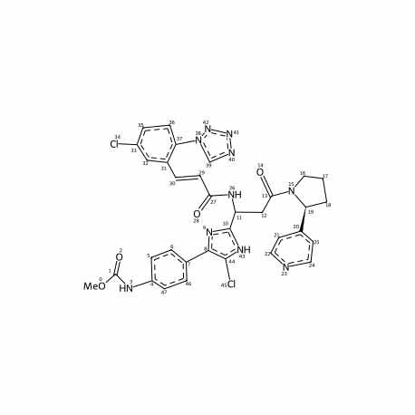 COC(=O)Nc1ccc(-c2nc(C(CC(=O)N3CCC[C@H]3c3ccncc3)NC(=O)/C=C/c3cc(Cl)ccc3-n3cnnn3)[nH]c2Cl)cc1